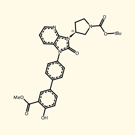 COC(=O)c1cc(-c2ccc(-n3c(=O)n([C@H]4CCN(C(=O)OC(C)(C)C)C4)c4ncccc43)cc2)ccc1O